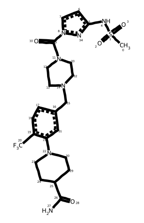 CS(=O)(=O)Nc1ccn(C(=O)N2CCN(Cc3ccc(C(F)(F)F)c(N4CCC(C(N)=O)CC4)c3)CC2)n1